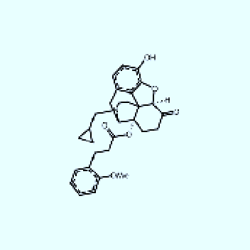 COc1ccccc1CCC(=O)O[C@@]12CCC(=O)[C@@H]3Oc4c(O)ccc5c4C31CCN(CC1CC1)C2C5